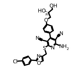 N#Cc1c(N)nc(SCc2coc(-c3ccc(Cl)cc3)n2)c(C#N)c1-c1ccc(OC[C@H](O)CO)cc1